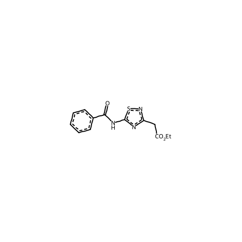 CCOC(=O)Cc1nsc(NC(=O)c2ccccc2)n1